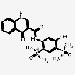 C[SH](C)(=O)c1cc([SH](C)(C)=O)c(NC(=O)c2c[nH]c3ccccc3c2=O)cc1O